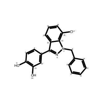 Oc1ccc(-c2nn(Cc3ccccc3)c3c(Cl)cccc23)cc1O